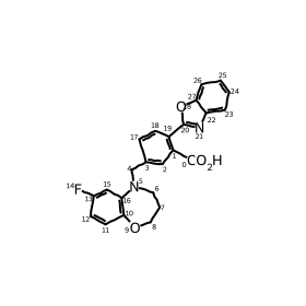 O=C(O)c1cc(CN2CCCOc3ccc(F)cc32)ccc1-c1nc2ccccc2o1